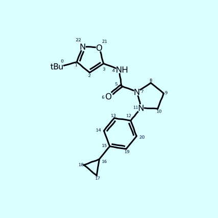 CC(C)(C)c1cc(NC(=O)N2CCCN2c2ccc(C3CC3)cc2)on1